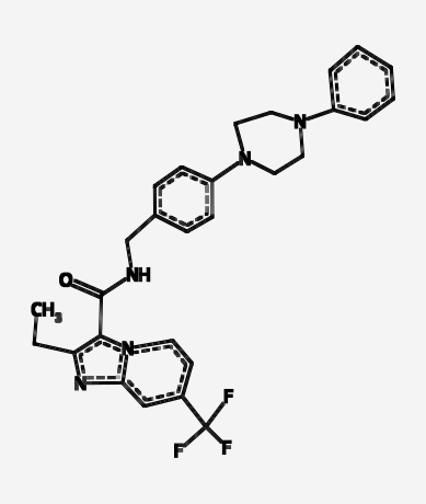 CCc1nc2cc(C(F)(F)F)ccn2c1C(=O)NCc1ccc(N2CCN(c3ccccc3)CC2)cc1